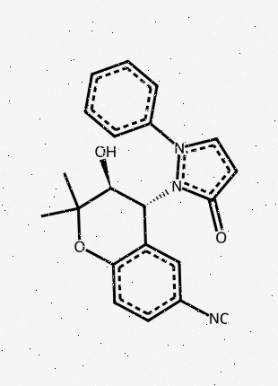 [C-]#[N+]c1ccc2c(c1)[C@@H](n1c(=O)ccn1-c1ccccc1)[C@H](O)C(C)(C)O2